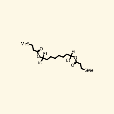 CCC(CC)(CCCCCCC(CC)(CC)OC(=O)CCSC)OC(=O)CCSC